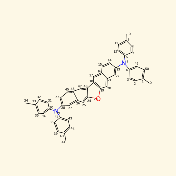 Cc1ccc(N(c2ccc(C)cc2)c2ccc3cc4c(cc3c2)oc2cc3cc(N(c5ccc(C)cc5)c5ccc(C)cc5)ccc3cc24)cc1